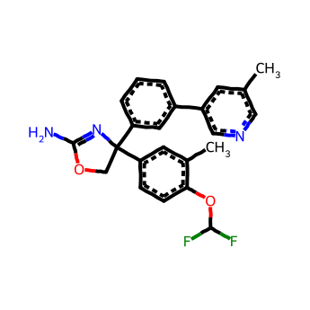 Cc1cncc(-c2cccc(C3(c4ccc(OC(F)F)c(C)c4)COC(N)=N3)c2)c1